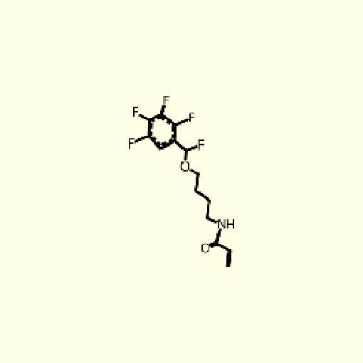 C=CC(=O)NCCCCOC(F)c1cc(F)c(F)c(F)c1F